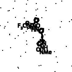 CNC(=O)Nc1cccn2c(C#Cc3cccc(NC(=O)N4N=C(OC(=O)C(F)(F)F)CC4c4ccccc4)c3)cnc12